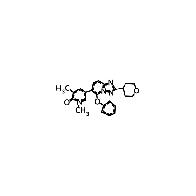 Cc1cc(-c2ccc3nc(C4CCOCC4)nn3c2Oc2ccccc2)cn(C)c1=O